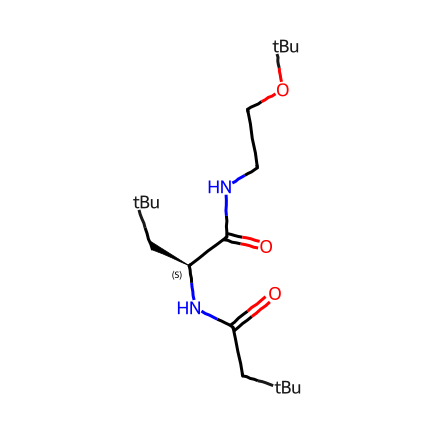 CC(C)(C)CC(=O)N[C@@H](CC(C)(C)C)C(=O)NCCOC(C)(C)C